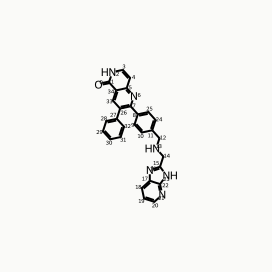 O=c1[nH]ccc2nc(-c3ccc(CNCc4nc5cccnc5[nH]4)cc3)c(-c3ccccc3)cc12